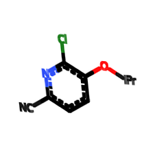 CC(C)Oc1ccc(C#N)nc1Cl